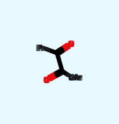 CC(=O)OC(=O)C(=O)C(C)C